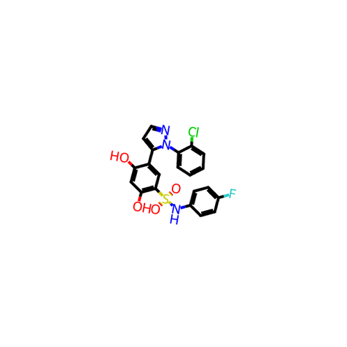 O=S(=O)(Nc1ccc(F)cc1)c1cc(-c2ccnn2-c2ccccc2Cl)c(O)cc1O